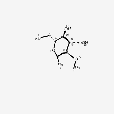 NO[C@H]1C(O)O[C@H](CO)[C@@H](O)[C@@H]1O